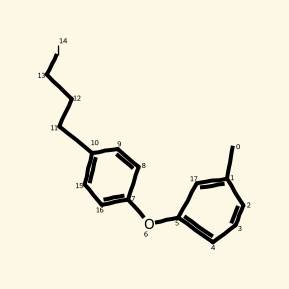 Cc1cccc(Oc2ccc(CCCI)cc2)c1